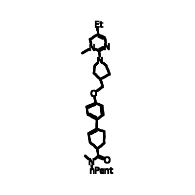 CCCCCN(C)C(=O)C1CC=C(c2ccc(OCC3CCN(C4=NC=C(CC)CN4C)CC3)cc2)CC1